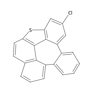 Clc1cc2c3c(c1)sc1ccc4cccc(c4c13)-c1ccccc1-2